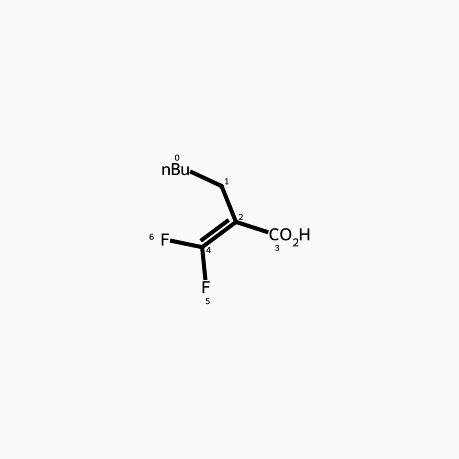 CCCCCC(C(=O)O)=C(F)F